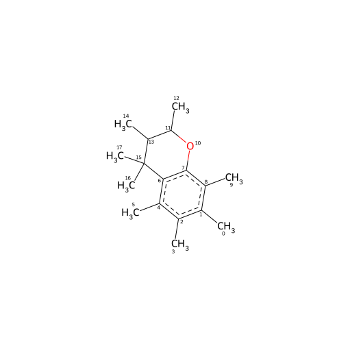 Cc1c(C)c(C)c2c(c1C)OC(C)C(C)C2(C)C